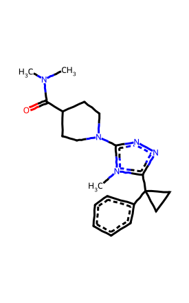 CN(C)C(=O)C1CCN(c2nnc(C3(c4ccccc4)CC3)n2C)CC1